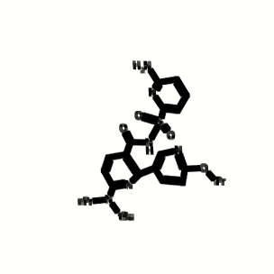 CCCN(c1ccc(C(=O)NS(=O)(=O)c2cccc(N)n2)c(-c2ccc(OC(C)C)nc2)n1)C(C)(C)C